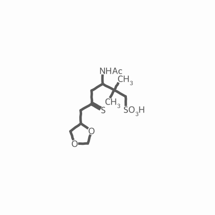 CC(=O)NC(CC(=S)CC1COCO1)C(C)(C)CS(=O)(=O)O